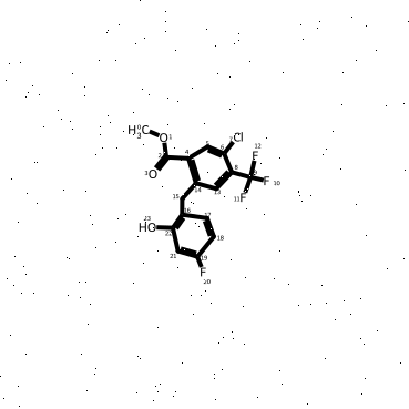 COC(=O)c1cc(Cl)c(C(F)(F)F)cc1Cc1ccc(F)cc1O